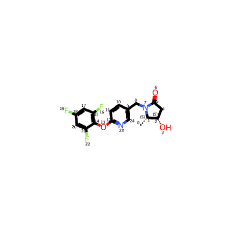 C[C@H]1[C@@H](O)CC(=O)N1Cc1ccc(Oc2c(F)cc(F)cc2F)nc1